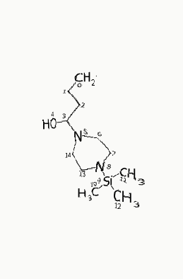 [CH2]CCC(O)N1CCN([Si](C)(C)C)CC1